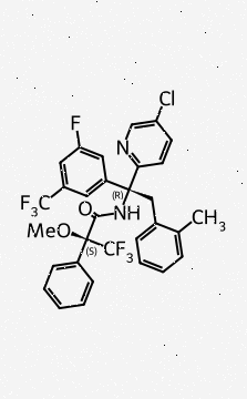 CO[C@](C(=O)N[C@](Cc1ccccc1C)(c1cc(F)cc(C(F)(F)F)c1)c1ccc(Cl)cn1)(c1ccccc1)C(F)(F)F